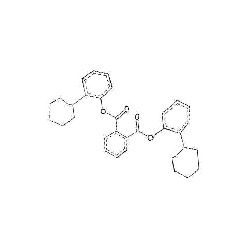 O=C(Oc1ccccc1C1CCCCC1)c1ccccc1C(=O)Oc1ccccc1C1CCCCC1